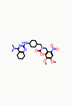 COc1cc(CN(CC2CCC(Nc3nc4c(c(N(C)C)n3)CCCC4)CC2)C(=O)O)c([N+](=O)[O-])cc1OC